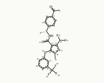 CC(=O)c1ccc([C@@H](C)NC(=O)c2c(C(F)F)nn(C)c2Oc2cccc(C(F)(F)F)c2)cc1